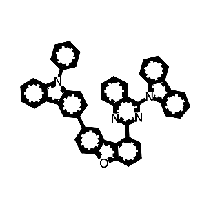 c1ccc(-n2c3ccccc3c3cc(-c4ccc5oc6cccc(-c7nc(-n8c9ccccc9c9ccccc98)c8ccccc8n7)c6c5c4)ccc32)cc1